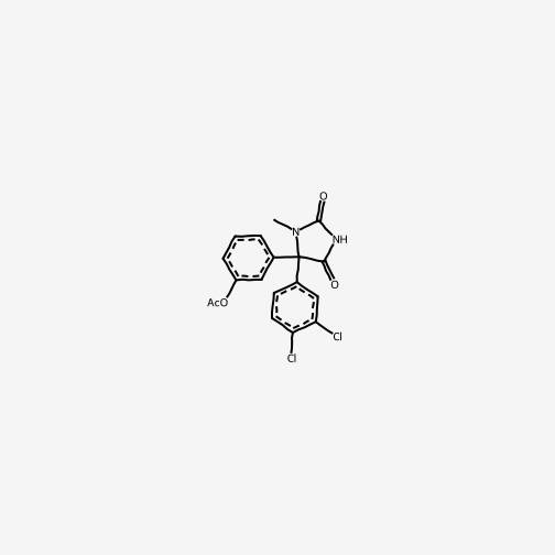 CC(=O)Oc1cccc(C2(c3ccc(Cl)c(Cl)c3)C(=O)NC(=O)N2C)c1